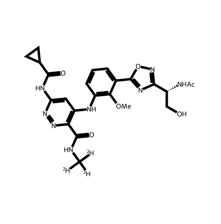 [2H]C([2H])([2H])NC(=O)c1nnc(NC(=O)C2CC2)cc1Nc1cccc(-c2nc([C@@H](CO)NC(C)=O)no2)c1OC